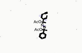 C#C/C=C\C(=C/C)[C@@](C)(/N=N/C(C)(OC(C)=O)c1ccccc1)OC(C)=O